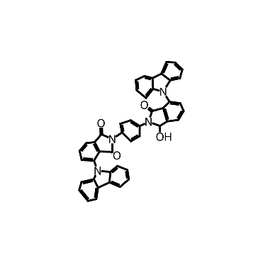 O=C1c2cccc(-n3c4ccccc4c4ccccc43)c2C(=O)N1c1ccc(N2C(=O)c3c(cccc3-n3c4ccccc4c4ccccc43)C2O)cc1